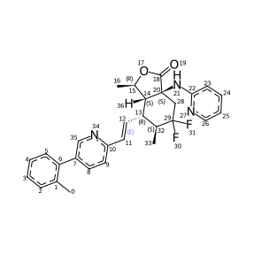 Cc1ccccc1-c1ccc(/C=C/[C@@H]2[C@@H]3[C@@H](C)OC(=O)[C@]3(Nc3ccccn3)CC(F)(F)[C@H]2C)nc1